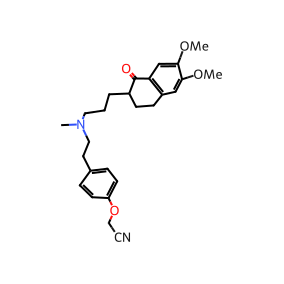 COc1cc2c(cc1OC)C(=O)C(CCCN(C)CCc1ccc(OCC#N)cc1)CC2